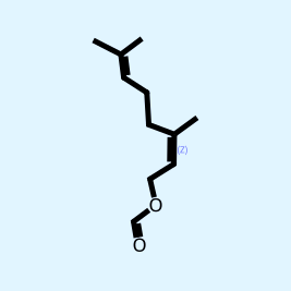 CC(C)=CCC/C(C)=C\COC=O